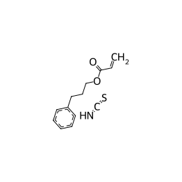 C=CC(=O)OCCCc1ccccc1.N=C=S